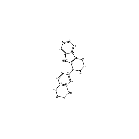 c1ccc2c3c([nH]c2c1)C(c1ccc2c(c1)OCCO2)[N]CC3